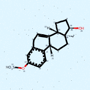 C[C@]12CC[C@H]3C(=CCc4cc(OS(=O)(=O)O)ccc43)[C@@H]1CC[C@H]2O